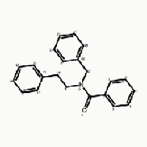 O=C(c1ccccc1)N(CCc1ccccc1)Cc1ccccc1